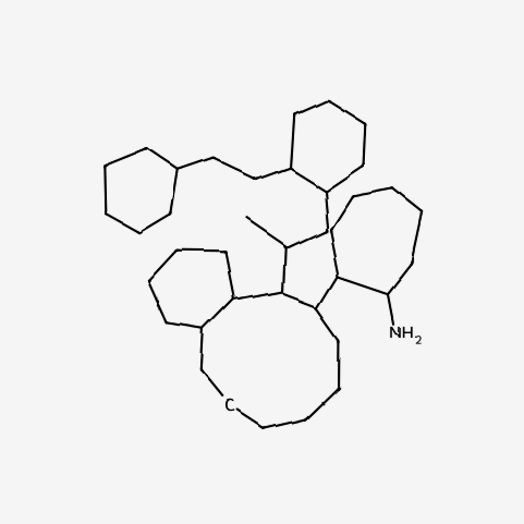 CC(CC1CCCCC1CCC1CCCCC1)C1C2CCCCC2CCCCCCC1C1CCCCCC1N